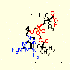 CC(C)(C)C(=O)OCOP(=O)(COC1(Cn2cnc3c(N)nc(N)nc32)CC1)OCCC(C)(C)C(=O)O